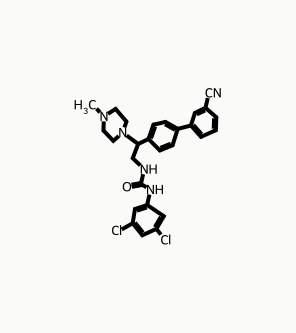 CN1CCN(C(CNC(=O)Nc2cc(Cl)cc(Cl)c2)c2ccc(-c3cccc(C#N)c3)cc2)CC1